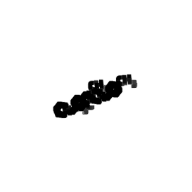 Cc1ccc(CN2CC(C)N(Cc3ccc(CN4CCCCC4)cc3)C(C)C2)cc1